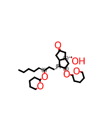 CCCCC[C@@H](CC[C@@H]1C2CC(=O)C[C@@]2(CO)C[C@H]1OC1CCCCO1)OC1CCCCO1